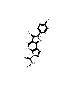 CCNC(=S)n1ncc2c3nn(-c4ccc(C(C)C)cc4)c(=O)c-3c[nH]c21